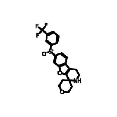 [O-][S+](c1cccc(C(F)(F)F)c1)c1ccc2c3c(oc2c1)C1(CCOCC1)NCC3